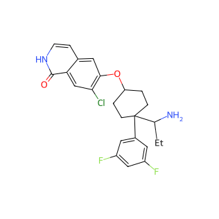 CCC(N)C1(c2cc(F)cc(F)c2)CCC(Oc2cc3cc[nH]c(=O)c3cc2Cl)CC1